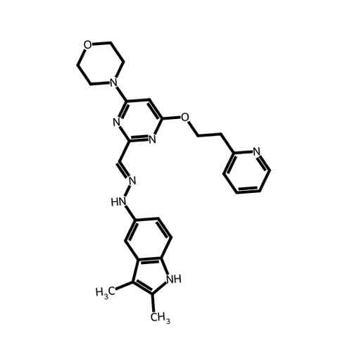 Cc1[nH]c2ccc(N/N=C/c3nc(OCCc4ccccn4)cc(N4CCOCC4)n3)cc2c1C